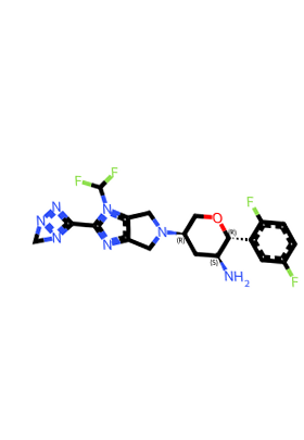 N[C@H]1C[C@@H](N2Cc3nc(-c4nn5n4C5)n(C(F)F)c3C2)CO[C@@H]1c1cc(F)ccc1F